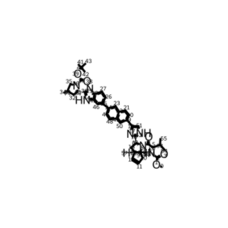 COC(=O)N[C@H](C(=O)N1[C@@H]2CC#C[C@@H]2C[C@H]1c1nc(-c2ccc3cc(-c4ccc5nc([C@@H]6C[C@@H](C)CN6C(=O)OC(C)(C)C)[nH]c5c4)ccc3c2)c[nH]1)C(C)C